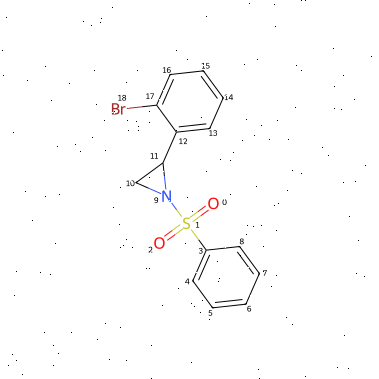 O=S(=O)(c1ccccc1)N1CC1c1ccccc1Br